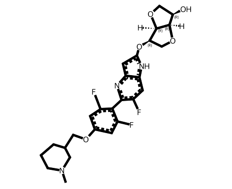 CN1CCCC(COc2cc(F)c(-c3nc4cc(O[C@@H]5CO[C@H]6[C@@H]5OC[C@H]6O)[nH]c4cc3F)c(F)c2)C1